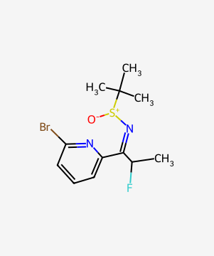 CC(F)/C(=N/[S+]([O-])C(C)(C)C)c1cccc(Br)n1